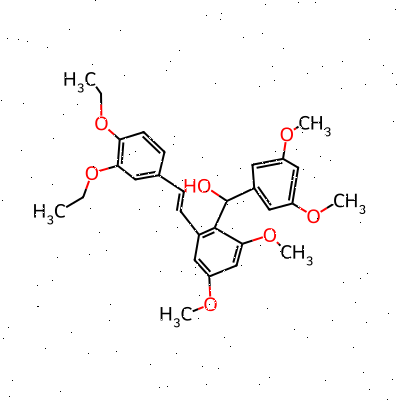 CCOc1ccc(/C=C/c2cc(OC)cc(OC)c2C(O)c2cc(OC)cc(OC)c2)cc1OCC